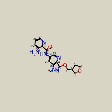 Cn1nc(OC[C@H]2CCOC2)c2ncc(NC(=O)c3ncccc3N)cc21